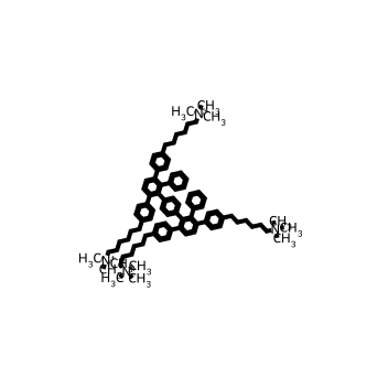 C[N+](C)(C)CCCCCCc1ccc(-c2ccc(-c3ccc(CCCCCC[N+](C)(C)C)cc3)c(-c3ccc(-c4c(-c5ccc(CCCCCC[N+](C)(C)C)cc5)ccc(-c5ccc(CCCCCC[N+](C)(C)C)cc5)c4-c4ccccc4)cc3)c2-c2ccccc2)cc1